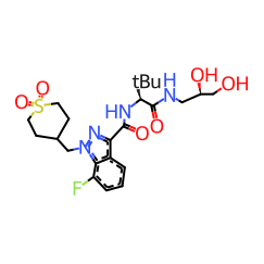 CC(C)(C)[C@H](NC(=O)c1nn(CC2CCS(=O)(=O)CC2)c2c(F)cccc12)C(=O)NC[C@@H](O)CO